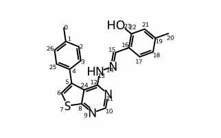 Cc1ccc(-c2csc3ncnc(N/N=C/c4ccc(C)cc4O)c23)cc1